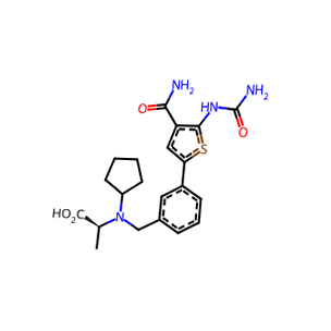 C[C@@H](C(=O)O)N(Cc1cccc(-c2cc(C(N)=O)c(NC(N)=O)s2)c1)C1CCCC1